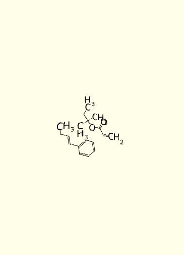 C=CC(=O)OC(C)(C)CC.CCC=Cc1ccccc1